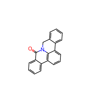 O=c1c2ccccc2c2cccc3c2n1Cc1ccccc1-3